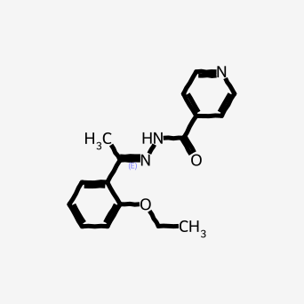 CCOc1ccccc1/C(C)=N/NC(=O)c1ccncc1